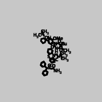 C=CCC1(C(C)CC)C(=O)NC(=O)NC1=O.CC(CN1c2ccccc2Sc2ccccc21)N(C)C.COc1cccc([C@@]2(O)CCCC[C@@H]2CN(C)C)c1.NC(=O)C[S+]([O-])C(c1ccccc1)c1ccccc1